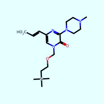 CN1CCN(c2nc(/C=C/C(=O)O)cn(COCC[Si](C)(C)C)c2=O)CC1